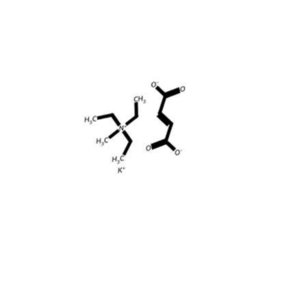 CC[N+](C)(CC)CC.O=C([O-])C=CC(=O)[O-].[K+]